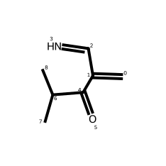 C=C(C=N)C(=O)C(C)C